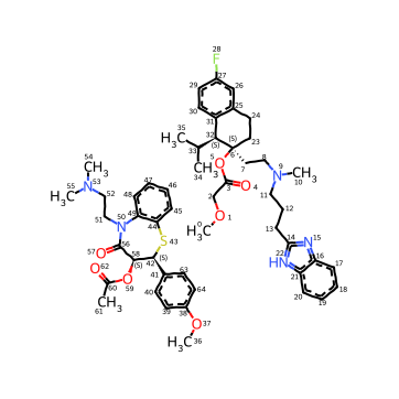 COCC(=O)O[C@]1(CCN(C)CCCc2nc3ccccc3[nH]2)CCc2cc(F)ccc2[C@@H]1C(C)C.COc1ccc([C@@H]2Sc3ccccc3N(CCN(C)C)C(=O)[C@@H]2OC(C)=O)cc1